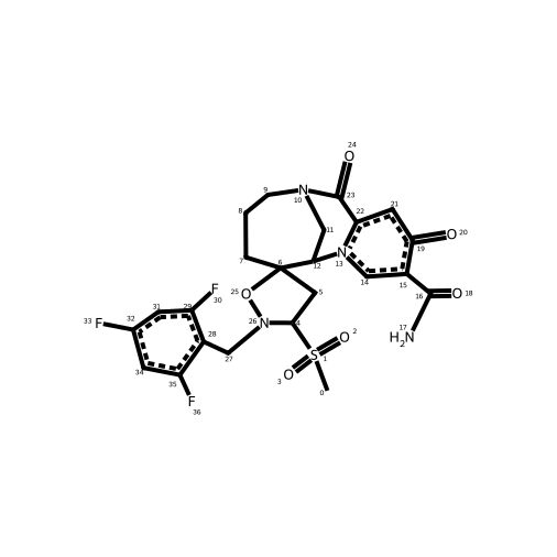 CS(=O)(=O)C1CC2(CCCN3CC2n2cc(C(N)=O)c(=O)cc2C3=O)ON1Cc1c(F)cc(F)cc1F